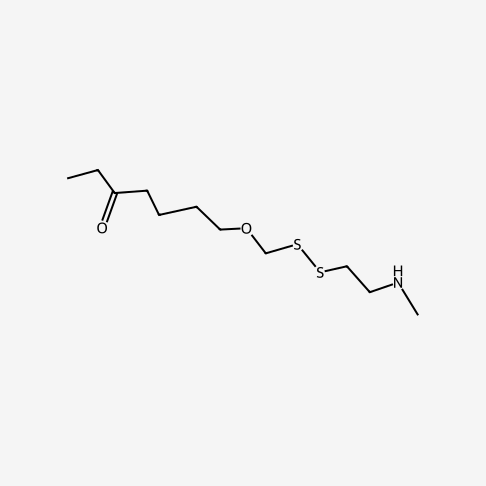 CCC(=O)CCCCOCSSCCNC